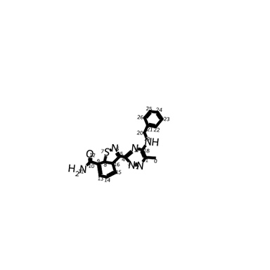 Cc1nnc(C2=NSC3C(C(N)=O)=CC=CC23)nc1NCc1ccccc1